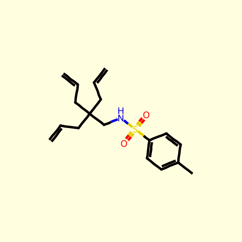 C=CCC(CC=C)(CC=C)CNS(=O)(=O)c1ccc(C)cc1